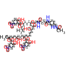 CCC1CC(CCCC2CC(CC(O)CCCC3CC(CCCC(O)CC4C[C@H](C)OC(c5cc([N+](=O)[O-])ccc5O)O4)OC(c4cc([N+](=O)[O-])ccc4O)O3)OC(CNC(=O)CCC(=O)Nc3ccc(CNC(C)=O)cc3)O2)OC(c2cc([N+](=O)[O-])ccc2O)O1